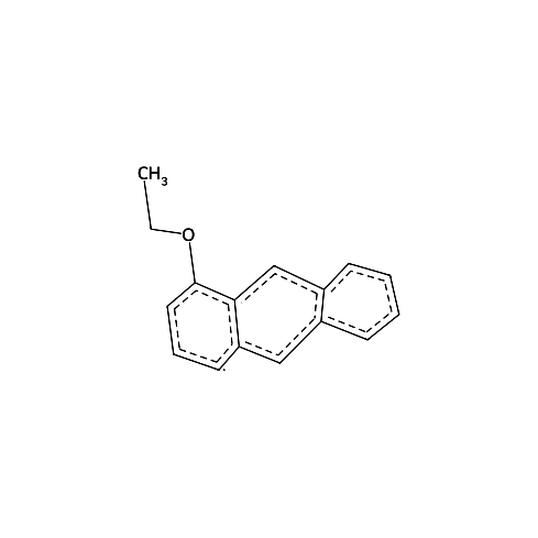 CCOc1cc[c]c2cc3ccccc3cc12